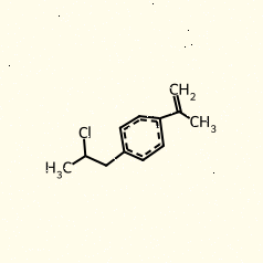 C=C(C)c1ccc(CC(C)Cl)cc1